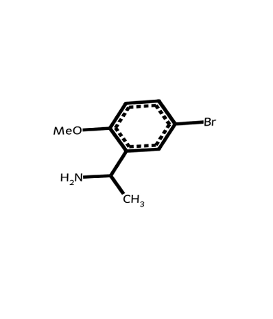 COc1ccc(Br)cc1C(C)N